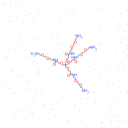 NCCOCCOCCNC(=O)CCOCC(COCCC(=O)NCCOCCOCCN)(COCCC(=O)NCCOCCOCCN)COCCC(=O)NCCOCCOCCN